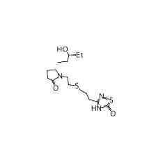 CC[C@H](O)CC[C@H]1CCC(=O)N1CCSCCCc1nsc(=O)[nH]1